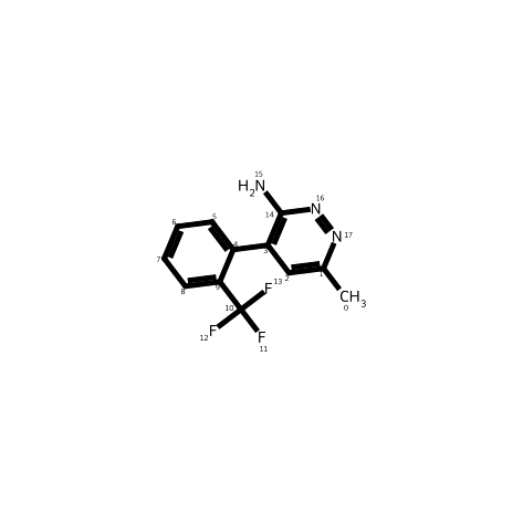 Cc1cc(-c2ccccc2C(F)(F)F)c(N)nn1